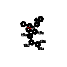 CC(C)(C)c1cc(-c2cc(-c3cc(C(C)(C)C)cc(N(c4ccc(C5CCCCC5)cc4)c4ccc5c(c4)C(C)(C)c4ccccc4-5)c3-c3ccccc3)cc(C(C)(C)C)c2)cc(-c2cc(C(C)(C)C)cc(C(C)(C)C)c2)c1